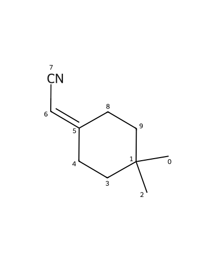 CC1(C)CCC(=CC#N)CC1